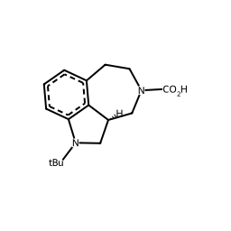 CC(C)(C)N1C[C@@H]2CN(C(=O)O)CCc3cccc1c32